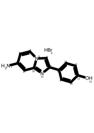 Br.Nc1ccn2cc(-c3ccc(O)cc3)nc2c1